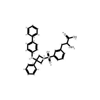 NC(Cc1cccc(S(=O)(=O)N2CC(Oc3ccc(-c4ccccc4)cc3)(c3ccccc3)C2)c1)C(=O)O